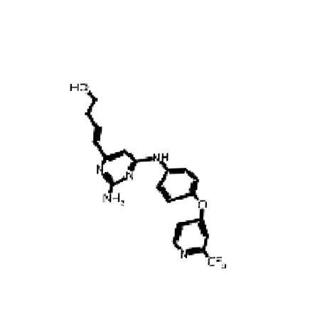 Nc1nc(C=CCCO)cc(Nc2ccc(Oc3ccnc(C(F)(F)F)c3)cc2)n1